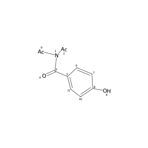 CC(=O)N(C(C)=O)C(=O)c1ccc(O)cc1